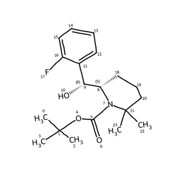 CC(C)(C)OC(=O)N1[C@H]([C@H](O)c2ccccc2F)CCCC1(C)C